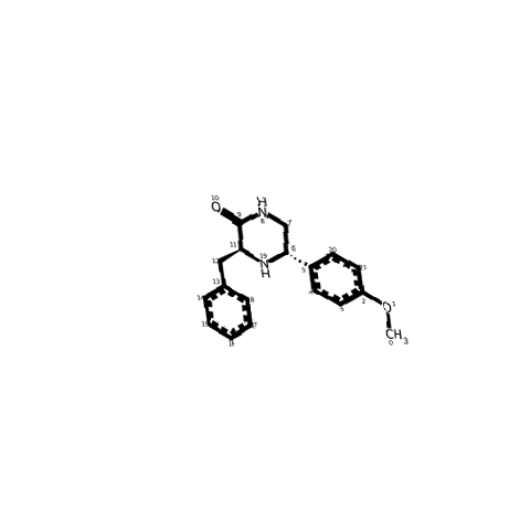 COc1ccc([C@H]2CNC(=O)[C@H](Cc3ccccc3)N2)cc1